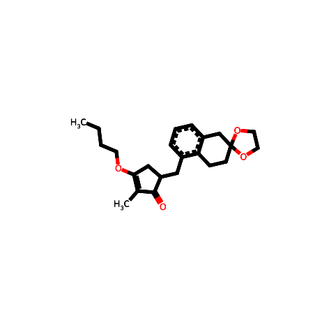 CCCCOC1=C(C)C(=O)C(Cc2cccc3c2CCC2(C3)OCCO2)C1